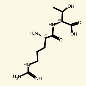 CC(O)[C@H](NC(=O)[C@@H](N)CCCNC(=N)N)C(=O)O